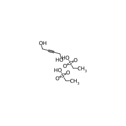 CCS(=O)(=O)O.CCS(=O)(=O)O.OCC#CCO